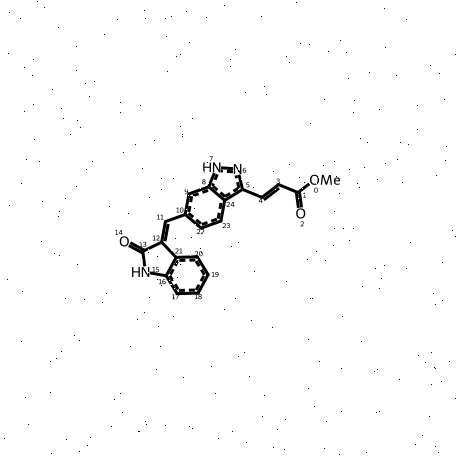 COC(=O)/C=C/c1n[nH]c2cc(/C=C3/C(=O)Nc4ccccc43)ccc12